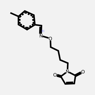 Cc1ccc(/C=N/OCCCCN2C(=O)C=CC2=O)cc1